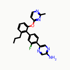 CCCc1cccc(Oc2ccnc(C)n2)c1-c1ccc(-c2cnc(N)cn2)c(F)c1